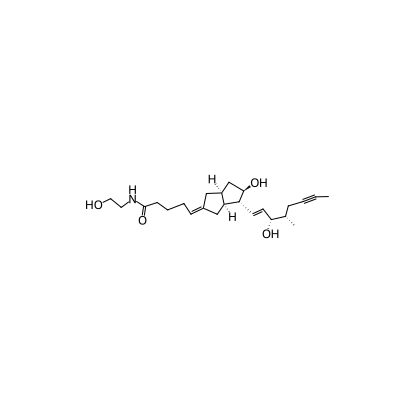 CC#CC[C@H](C)[C@H](O)/C=C/[C@@H]1[C@H]2C/C(=C/CCCC(=O)NCCO)C[C@H]2C[C@H]1O